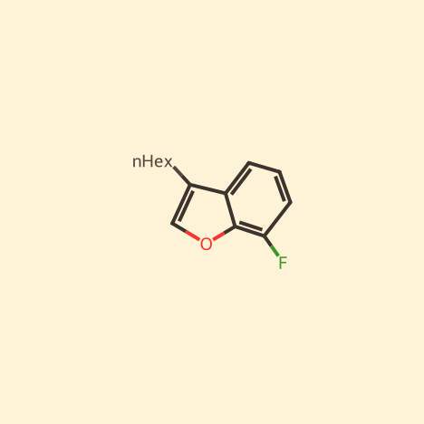 [CH2]CCCCCc1coc2c(F)cccc12